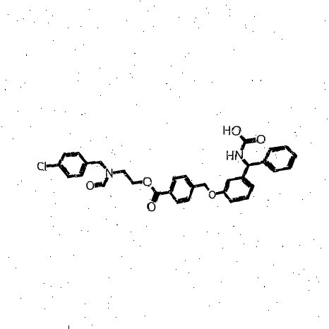 O=CN(CCOC(=O)c1ccc(COc2cccc(C(NC(=O)O)c3ccccc3)c2)cc1)Cc1ccc(Cl)cc1